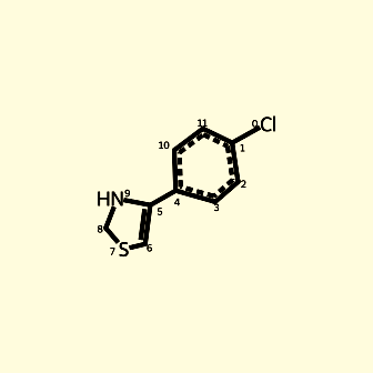 Clc1ccc(C2=CSCN2)cc1